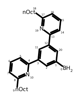 Bc1cc(-c2cccc(CCCCCCCC)n2)cc(-c2cccc(CCCCCCCC)n2)c1